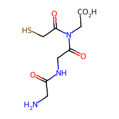 NCC(=O)NCC(=O)N(CC(=O)O)C(=O)CS